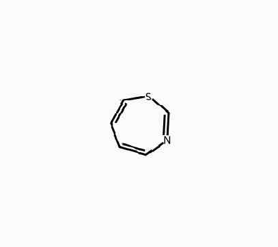 [C]1=CC=CN=CS1